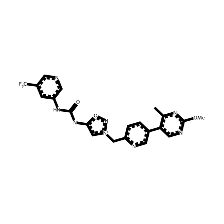 COc1ncc(-c2ccc(C[n+]3cc([N-]C(=O)Nc4cncc(C(F)(F)F)c4)on3)nc2)c(C)n1